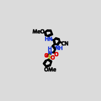 COc1ccc(S(=O)(=O)NC(=O)c2cc3c(Nc4cccc(OC)c4)ccc(C#N)c3[nH]2)cc1